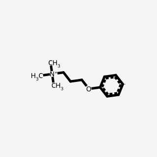 C[N+](C)(C)CCCOc1cc[c]cc1